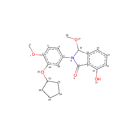 COc1ccc(N2C(=O)c3c(O)cccc3C2OC)cc1OC1CCCC1